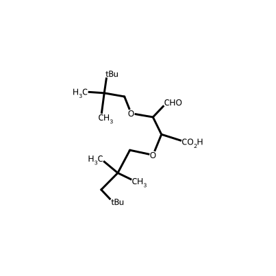 CC(C)(C)CC(C)(C)COC(C(=O)O)C(C=O)OCC(C)(C)C(C)(C)C